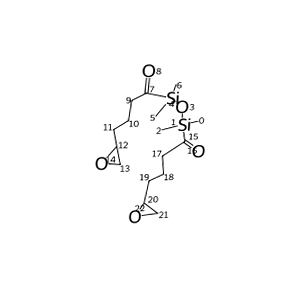 C[Si](C)(O[Si](C)(C)C(=O)CCCC1CO1)C(=O)CCCC1CO1